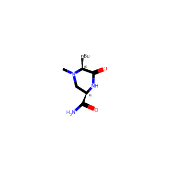 CCCC[C@H]1C(=O)N[C@@H](C(N)=O)CN1C